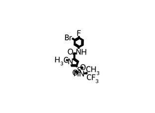 C[C@@H](NS(=O)(=O)c1cc(C(=O)Nc2ccc(F)c(Br)c2)n(C)c1)C(F)(F)F